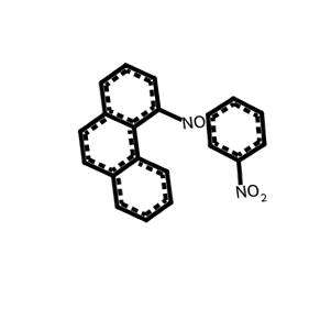 O=[N+]([O-])c1cccc2ccc3ccccc3c12.O=[N+]([O-])c1ccccc1